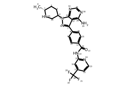 C[C@@H]1CCC(n2nc(-c3ccc(C(=O)Nc4cc(C(F)(F)F)ccn4)cc3)c3c(N)ncnc32)CN1